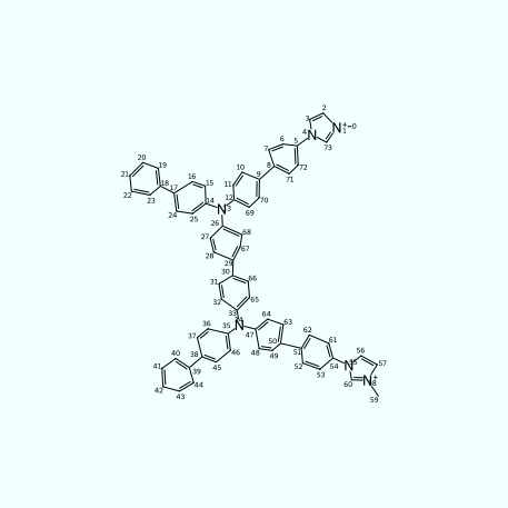 C[n+]1ccn(-c2ccc(-c3ccc(N(c4ccc(-c5ccccc5)cc4)c4ccc(-c5ccc(N(c6ccc(-c7ccccc7)cc6)c6ccc(-c7ccc(-n8cc[n+](C)c8)cc7)cc6)cc5)cc4)cc3)cc2)c1